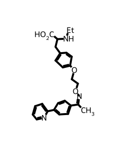 CCNC(Cc1ccc(OCCON=C(C)c2ccc(-c3ccccn3)cc2)cc1)C(=O)O